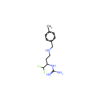 Cc1ccc(CNCCC(NC(=N)N)C(F)F)cc1